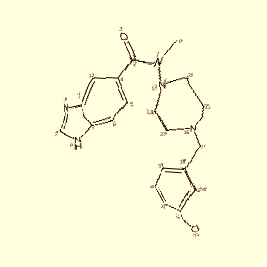 CN(C(=O)c1ccc2[nH]cnc2c1)N1CCN(Cc2cccc(Cl)c2)CC1